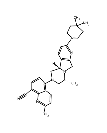 Bc1ccc2c(N3C[C@@H](C)N4Cc5nc(N6CCC(C)(N)CC6)ccc5[C@H]4C3)ccc(C#N)c2n1